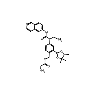 CC1OB(c2cc(C(CN)C(=O)Nc3ccc4cnccc4c3)ccc2COC(=O)CN)OC1(C)C